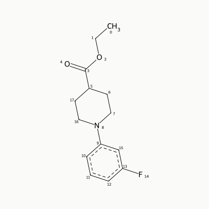 CCOC(=O)C1CCN(c2cccc(F)c2)CC1